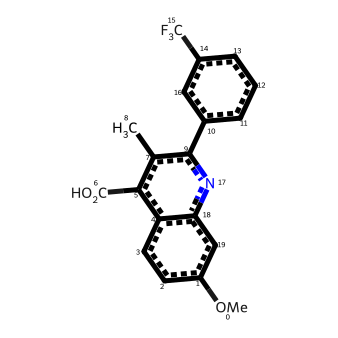 COc1ccc2c(C(=O)O)c(C)c(-c3cccc(C(F)(F)F)c3)nc2c1